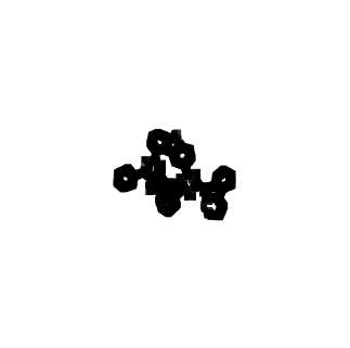 c1ccc(-c2nc(-c3ccc4sc5cccc(-c6nc(-c7ccccc7)c7sc8ccccc8c7n6)c5c4c3)nc(-n3c4ccccc4c4ccccc43)n2)cc1